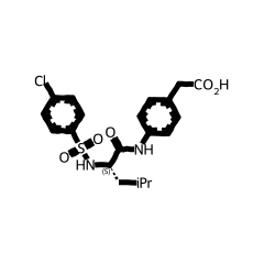 CC(C)C[C@H](NS(=O)(=O)c1ccc(Cl)cc1)C(=O)Nc1ccc(CC(=O)O)cc1